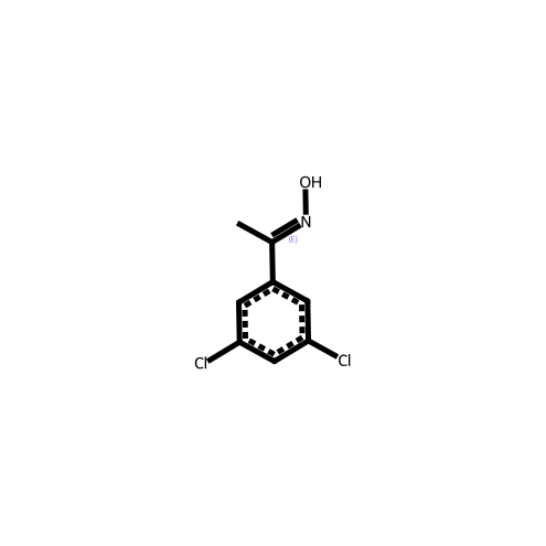 C/C(=N\O)c1cc(Cl)cc(Cl)c1